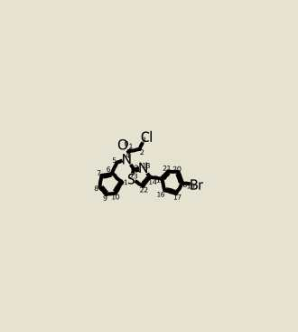 O=C(CCl)N(Cc1ccccc1)c1nc(-c2ccc(Br)cc2)cs1